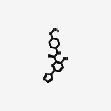 COC1CCC(NC(=O)c2nc(-n3ccnc3)ccc2O)CC1